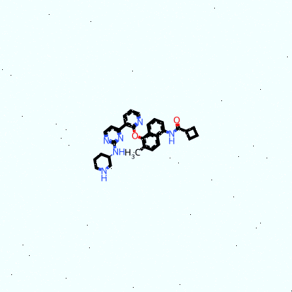 Cc1ccc2c(NC(=O)C3CCC3)cccc2c1Oc1ncccc1-c1ccnc(N[C@H]2CCCNC2)n1